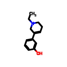 CCN1CCC=C(c2cccc(O)c2)C1